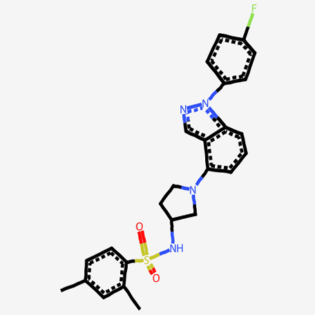 Cc1ccc(S(=O)(=O)NC2CCN(c3cccc4c3cnn4-c3ccc(F)cc3)C2)c(C)c1